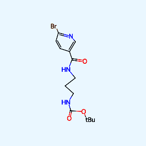 CC(C)(C)OC(=O)NCCCNC(=O)c1ccc(Br)nc1